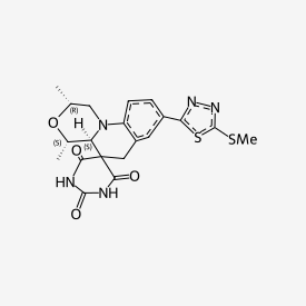 CSc1nnc(-c2ccc3c(c2)CC2(C(=O)NC(=O)NC2=O)[C@H]2[C@H](C)O[C@H](C)CN32)s1